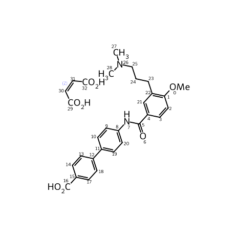 COc1ccc(C(=O)Nc2ccc(-c3ccc(C(=O)O)cc3)cc2)cc1CCCN(C)C.O=C(O)/C=C\C(=O)O